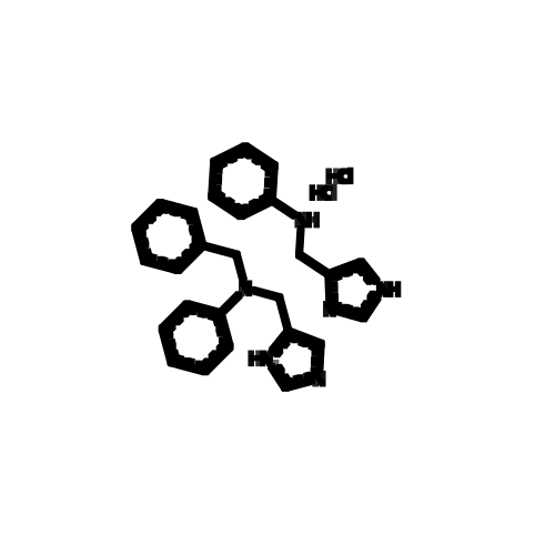 Cl.Cl.c1ccc(CN(Cc2cnc[nH]2)c2ccccc2)cc1.c1ccc(NCc2c[nH]cn2)cc1